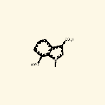 COc1cccc2c(C(=O)O)nn(C)c12